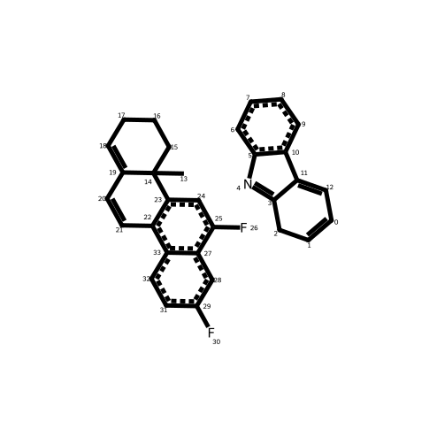 C1=CCC2=Nc3ccccc3C2=C1.CC12CCCC=C1C=Cc1c2cc(F)c2cc(F)ccc12